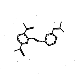 C=C(C)c1ccc(C(=C)C)c(C=Cc2cccc(C=C(C)C)c2)c1